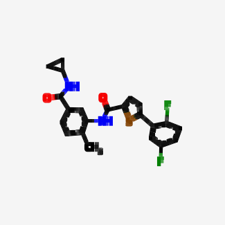 Cc1ccc(C(=O)NC2CC2)cc1NC(=O)c1ccc(-c2cc(F)ccc2F)s1